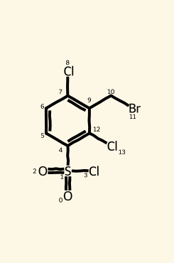 O=S(=O)(Cl)c1ccc(Cl)c(CBr)c1Cl